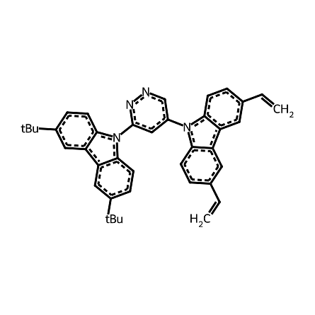 C=Cc1ccc2c(c1)c1cc(C=C)ccc1n2-c1cnnc(-n2c3ccc(C(C)(C)C)cc3c3cc(C(C)(C)C)ccc32)c1